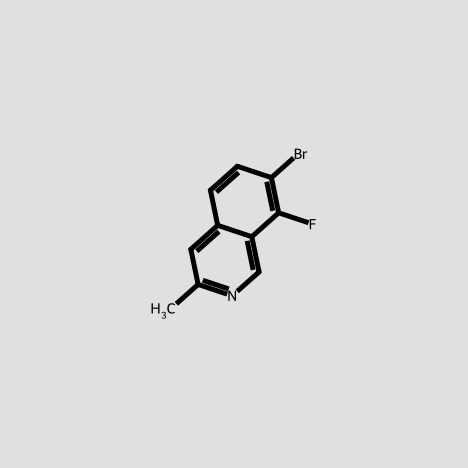 Cc1cc2ccc(Br)c(F)c2cn1